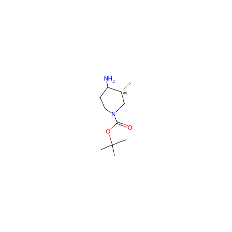 C[C@@H]1CN(C(=O)OC(C)(C)C)CCC1N